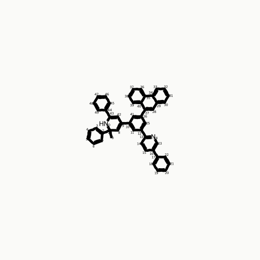 CC1(c2ccccc2)C=C(c2cc(-c3ccc(-c4ccccc4)cn3)cc(-c3cc4ccccc4c4ccccc34)c2)C=C(c2ccccc2)N1